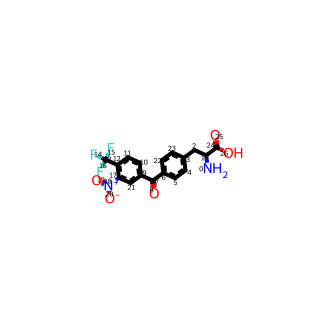 NC(Cc1ccc(C(=O)c2ccc(C(F)(F)F)c([N+](=O)[O-])c2)cc1)C(=O)O